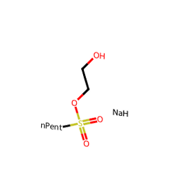 CCCCCS(=O)(=O)OCCO.[NaH]